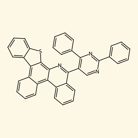 c1ccc(-c2ncc(-c3nc4c5sc6ccccc6c5c5ccccc5c4c4ccccc34)c(-c3ccccc3)n2)cc1